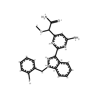 COC(C(N)=O)c1cc(N)nc(-c2nn(Cc3ccccc3F)c3ccccc23)n1